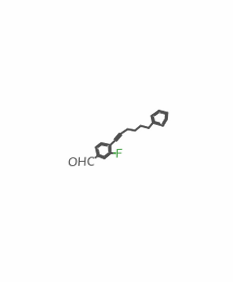 O=Cc1ccc(C#CCCCCc2ccccc2)c(F)c1